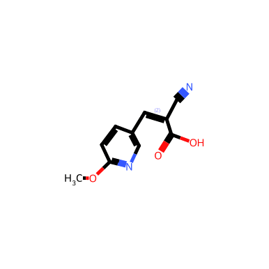 COc1ccc(/C=C(/C#N)C(=O)O)cn1